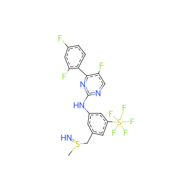 CS(=N)Cc1cc(Nc2ncc(F)c(-c3ccc(F)cc3F)n2)cc(S(F)(F)(F)(F)F)c1